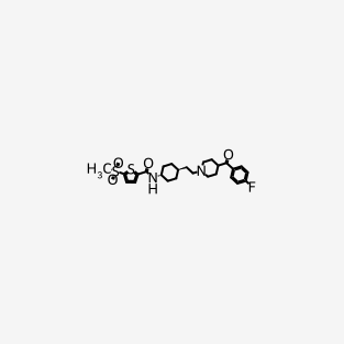 CS(=O)(=O)c1ccc(C(=O)N[C@H]2CC[C@H](CCN3CCC(C(=O)c4ccc(F)cc4)CC3)CC2)s1